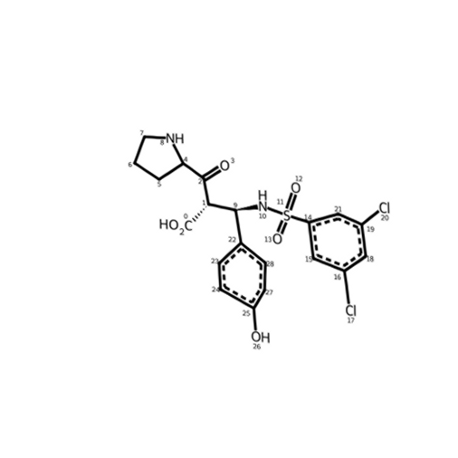 O=C(O)[C@H](C(=O)C1CCCN1)[C@@H](NS(=O)(=O)c1cc(Cl)cc(Cl)c1)c1ccc(O)cc1